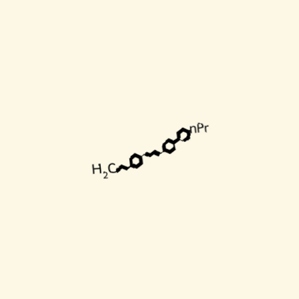 C=CCC[C@H]1CC[C@H](CCC=C[C@H]2CC[C@H]([C@H]3CC[C@H](CCC)CC3)CC2)CC1